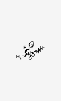 C/C=C(\C=C(\F)CN1CCOCC1)N1C[C@H](CN=[N+]=[N-])OC1=O